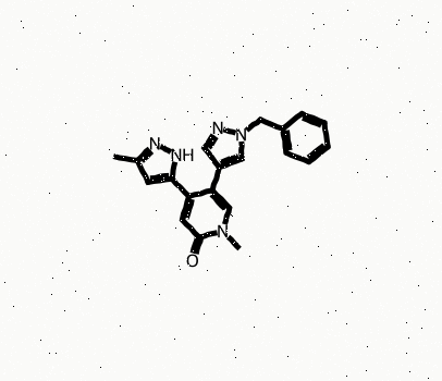 Cc1cc(-c2cc(=O)n(C)cc2-c2cnn(Cc3ccccc3)c2)[nH]n1